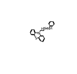 c1ccc(NNCCN2c3ccccc3Sc3ccccc32)cc1